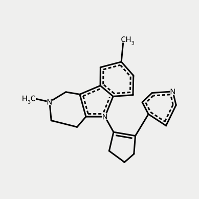 Cc1ccc2c(c1)c1c(n2C2=C(c3ccncc3)CCC2)CCN(C)C1